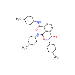 CC1CCC(NC(=O)c2cccc(C(=O)NC3CCC(C)CC3)c2C(=O)NC2CCC(C)CC2)CC1